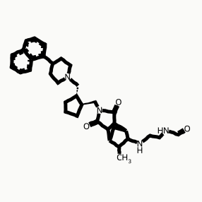 CC1C2CC(C1NCCNC=O)C1C(=O)N(C[C@H]3CCC[C@@H]3CN3CCC(c4cccc5ccccc45)CC3)C(=O)C21